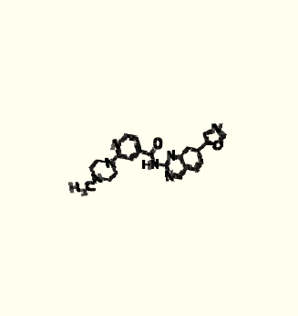 CN1CCN(c2cc(C(=O)Nc3ncc4ccc(-c5cnco5)cc4n3)ccn2)CC1